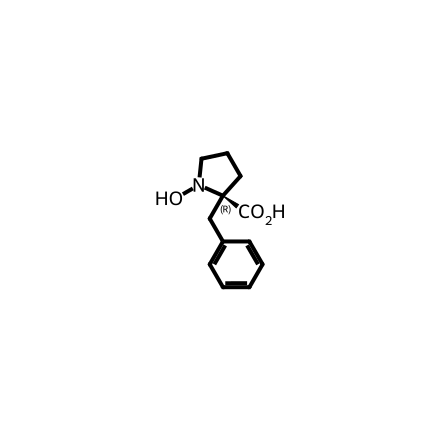 O=C(O)[C@]1(Cc2ccccc2)CCCN1O